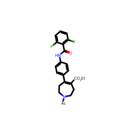 CCOC(=O)C1=C(c2ccc(NC(=O)c3c(F)cccc3F)cc2)CCN(C(C)=O)CC1